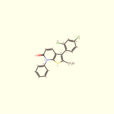 CCOC(=O)c1sc2c(ccc(=O)n2-c2ccccc2)c1-c1ccc(Cl)cc1Cl